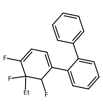 CCC1(F)C(F)=CC=C(c2ccccc2-c2ccccc2)C1F